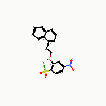 O=[N+]([O-])c1ccc(S(=O)(=O)Cl)c(OCCc2cccc3ccccc23)c1